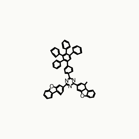 CC1C=C(c2nc(-c3ccc(-c4cc(-c5ccccc5)c(-c5ccccc5)c(-c5ccccc5)c4-c4ccccc4)cc3)nc(-c3ccc4c(c3)oc3ccccc34)n2)C=C2Oc3ccccc3C21